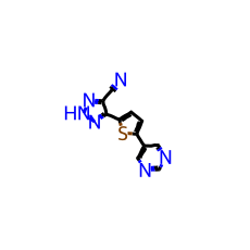 N#Cc1n[nH]nc1-c1ccc(-c2cncnc2)s1